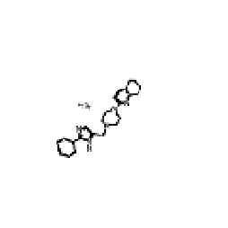 Br.c1ccc(-c2ncc(CN3CCN(c4ccc5c(n4)CCCC5)CC3)[nH]2)cc1